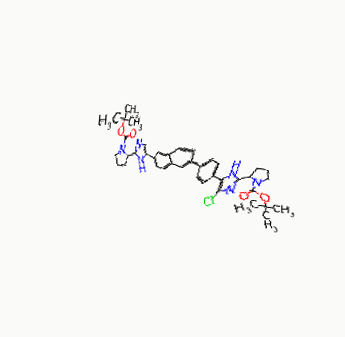 CC(C)(C)OC(=O)N1CCCC1c1ncc(-c2ccc3cc(-c4ccc(-c5[nH]c(C6CCCN6C(=O)OC(C)(C)C)nc5Cl)cc4)ccc3c2)[nH]1